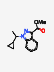 COC(=O)c1nn(C(C)C2CC2)c2ccccc12